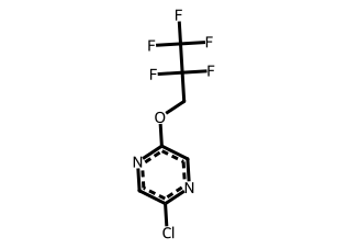 FC(F)(F)C(F)(F)COc1cnc(Cl)cn1